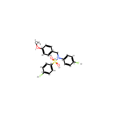 COc1ccc(CN(c2ccc(F)cc2)S(=O)(=O)c2ccc(F)cc2)cc1